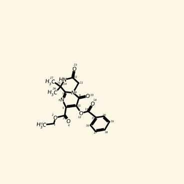 CCOC(=O)c1nc2n(c(=O)c1OC(=O)c1ccccc1)CC(=O)NC2(C)C